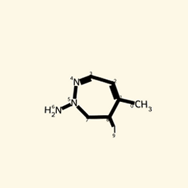 CC1=CC=NN(N)CC1I